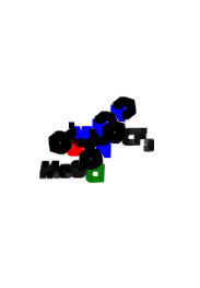 COc1cc2c(C(=O)N[C@@H](C)c3ccccc3)c(CN3CCC(N4CCCCC4)CC3)c(-c3cccc(C(F)(F)F)c3)nc2cc1Cl